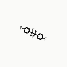 Fc1ccc(C(F)(F)C(F)(F)c2ccc(F)cc2)cc1